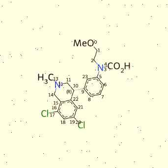 COCCN(C(=O)O)c1cccc([C@H]2CN(C)Cc3c(Cl)cc(Cl)cc32)c1